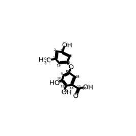 Cc1cc(O)cc(Oc2cc(O)c(O)c(C(=O)O)c2)c1